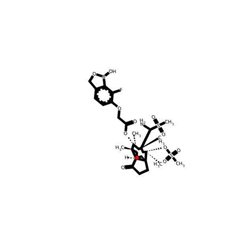 C[C@@H]1CC[C@@]23CCC(=O)[C@H]2[C@]1(C)[C@H](OC(=O)COc1ccc2c(c1F)B(O)OC2)C[C@](C)(C(N)S(C)(=O)=O)[C@@H](OS(C)(=O)=O)[C@@H]3C